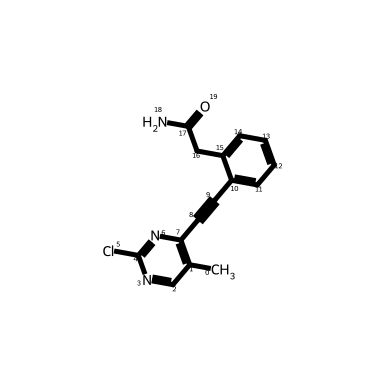 Cc1cnc(Cl)nc1C#Cc1ccccc1CC(N)=O